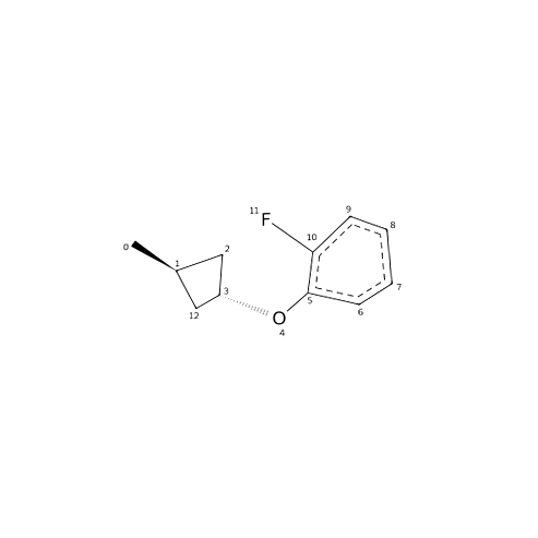 C[C@H]1C[C@H](Oc2ccccc2F)C1